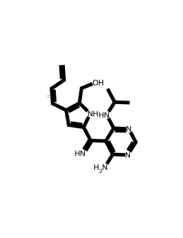 C=C/C=C\c1cc(C(=N)c2c(N)ncnc2NC(C)C)[nH]c1CO